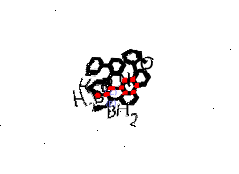 B/C(CN(c1cccc(-c2ccccc2)c1-c1ccccc1-c1ccccc1)c1cccc2oc3ccccc3c12)=C(B)/C(=C(/B)C#C)c1ccccc1